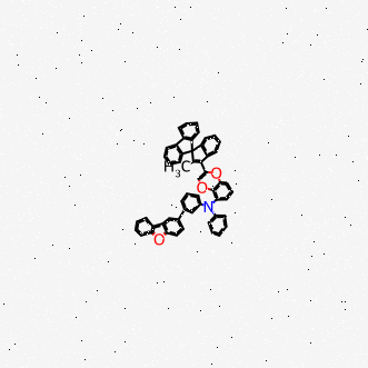 CC1=C(C2=COc3c(cccc3N(c3ccccc3)c3cccc(-c4ccc5oc6ccccc6c5c4)c3)O2)c2ccccc2C12c1ccccc1-c1ccccc12